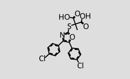 CC(Sc1nc(-c2ccc(Cl)cc2)c(-c2ccc(Cl)cc2)o1)(C(=O)O)C(=O)O